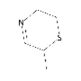 CC1C=NCCS1